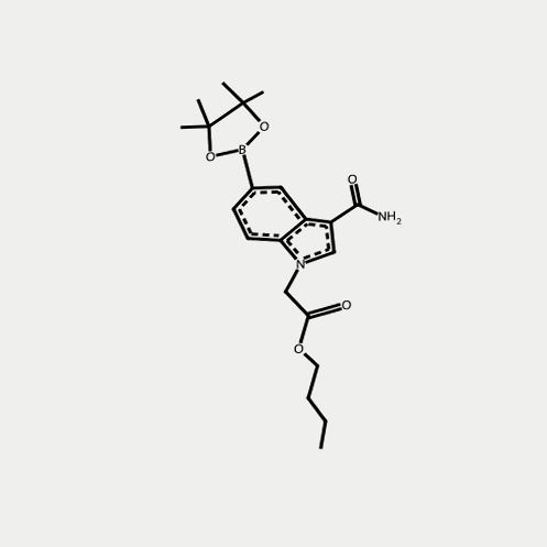 CCCCOC(=O)Cn1cc(C(N)=O)c2cc(B3OC(C)(C)C(C)(C)O3)ccc21